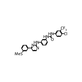 CSc1cccc(-c2ccnc(Nc3cccc(NC(=O)Nc4ccc(Cl)c(C(F)(F)F)c4)c3)n2)c1